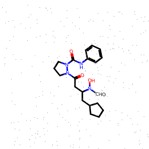 O=CN(O)C(CC(=O)N1CCCN1C(=O)Nc1ccccc1)CC1CCCC1